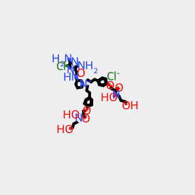 Nc1nc(N)c(C(=O)NC2CCC[N+](CCCc3ccc(OCC(=O)N(O)CCCO)cc3)(CCCc3ccc(OCC(=O)N(O)CCCO)cc3)C2)nc1Cl.[Cl-]